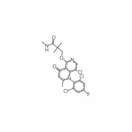 CNC(=O)C(C)(C)COc1ncc(Cl)c2c1c(=O)cc(C)n2-c1c(Cl)cc(F)cc1Cl